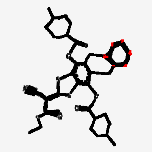 CCOC(=O)C(C#N)=C1Sc2c(OC(=O)C3CCC(C)CC3)c3c(c(OC(=O)C4CCC(C)CC4)c2S1)C1c2ccccc2C3c2ccccc21